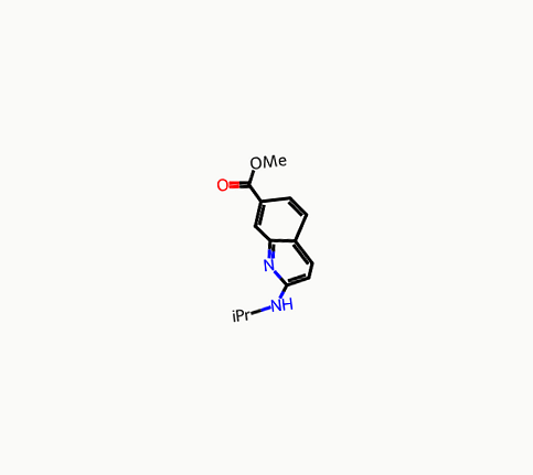 COC(=O)c1ccc2ccc(NC(C)C)nc2c1